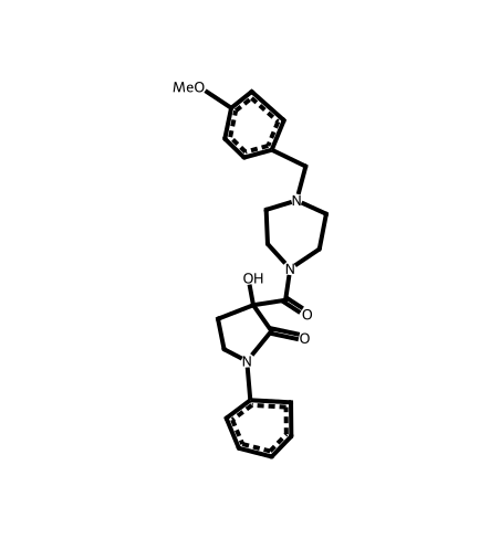 COc1ccc(CN2CCN(C(=O)C3(O)CCN(c4ccccc4)C3=O)CC2)cc1